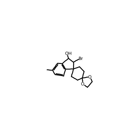 Cc1ccc2c(c1)C(O)C(Br)C21CCC2(CC1)OCCO2